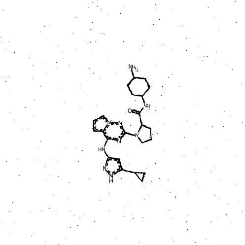 NC1CCC(NC(=O)C2CCCN2c2nc(Nc3cc(C4CC4)[nH]n3)c3cccn3n2)CC1